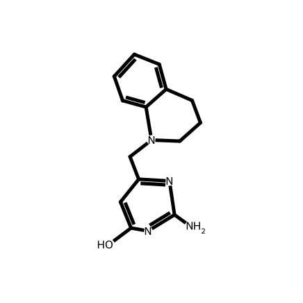 Nc1nc(O)cc(CN2CCCc3ccccc32)n1